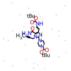 CC#CCn1c(N2CCN(C(=O)OC(C)(C)C)CC2)nc(/C=C/NC(=O)OC(C)(C)C)c1C(N)=O